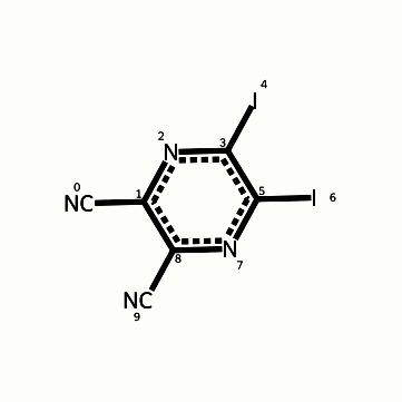 N#Cc1nc(I)c(I)nc1C#N